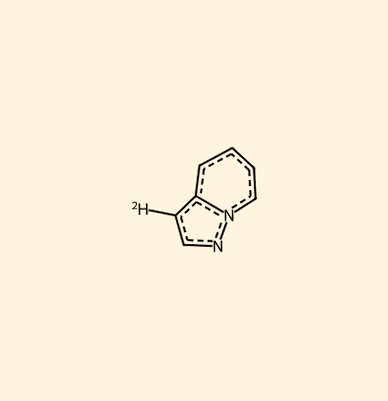 [2H]c1cnn2ccccc12